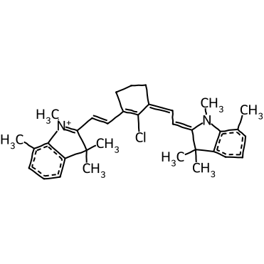 Cc1cccc2c1N(C)C(=CC=C1CCCC(C=CC3=[N+](C)c4c(C)cccc4C3(C)C)=C1Cl)C2(C)C